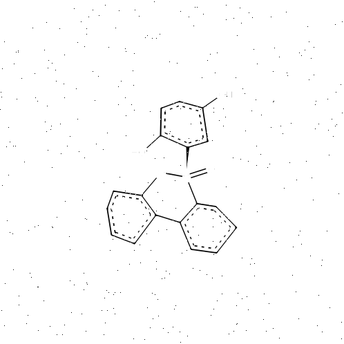 O=[P@@]1(c2cc(O)ccc2O)Oc2ccccc2-c2ccccc21